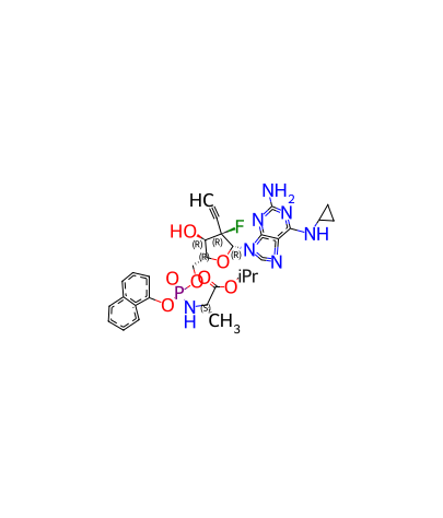 C#C[C@@]1(F)[C@H](O)[C@@H](COP(=O)(N[C@@H](C)C(=O)OC(C)C)Oc2cccc3ccccc23)O[C@H]1n1cnc2c(NC3CC3)nc(N)nc21